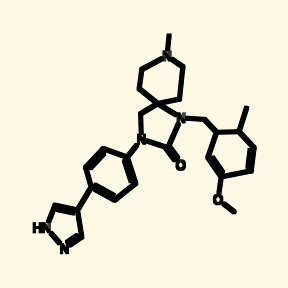 COC1=CC(CN2C(=O)N(c3ccc(-c4cn[nH]c4)cc3)CC23CCN(C)CC3)C(C)C=C1